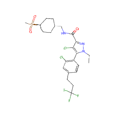 CCn1nc(C(=O)NC[C@H]2CC[C@H](S(C)(=O)=O)CC2)c(Cl)c1-c1ccc(CCC(F)(F)F)cc1Cl